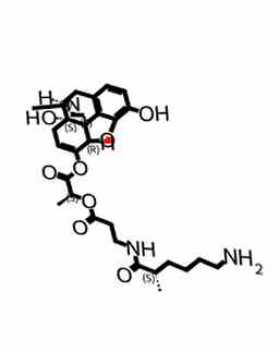 C[C@H](OC(=O)CCNC(=O)[C@@H](C)CCCCN)C(=O)OC1=CC[C@@]2(O)[C@H]3Cc4ccc(O)c5c4[C@@]2(CCN3C)[C@H]1O5